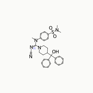 CN(/C(=N/C#N)N1CCC(C(O)(c2ccccc2)c2ccccc2)CC1)c1ccc(S(=O)(=O)N(C)C)cc1